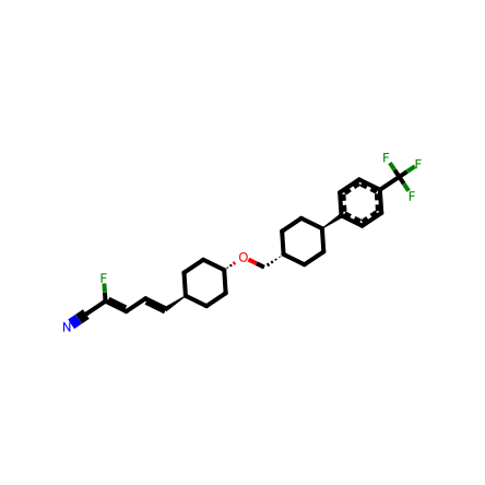 N#CC(F)=CC=C[C@H]1CC[C@H](OC[C@H]2CC[C@H](c3ccc(C(F)(F)F)cc3)CC2)CC1